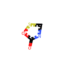 O=c1n[c]so1